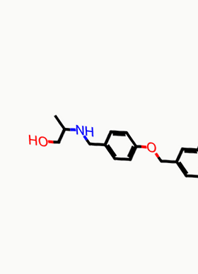 CC(CO)NCc1ccc(OCc2cccc(F)c2)cc1